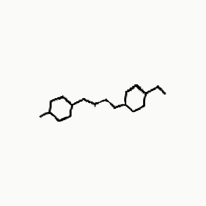 CCC1CCC(CC[CH]CC2CCC(C)CC2)CC1